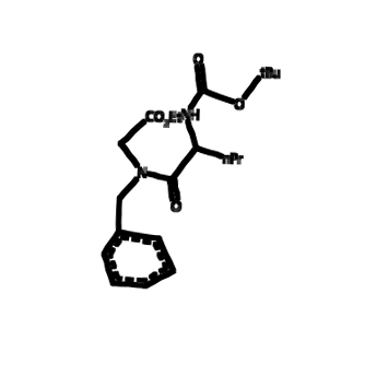 CCCC(NC(=O)OC(C)(C)C)C(=O)N(CC(=O)OCC)Cc1ccccc1